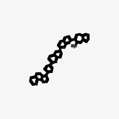 CC1=Cc2ccccc2CC=C1c1ccc2ccc(-c3ccc4nc(-c5ccc(-c6ccnc7c6ccc6cccnc67)cc5)ccc4c3)cc2n1